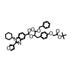 CC(C)(C)OC(=O)COc1ccc(CC(OC(=O)c2ccc3c(c2)nc(-c2ccoc2)n3C2CCCCC2)C(=O)OCc2ccccc2)cc1